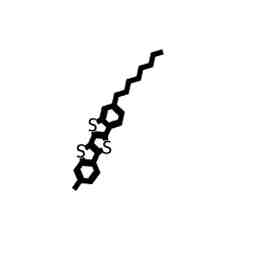 CCCCCCCCc1ccc2c(c1)sc1c2sc2c3ccc(C)cc3sc21